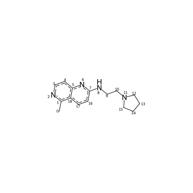 Cc1nccc2nc(NCCN3CCCC3)ccc12